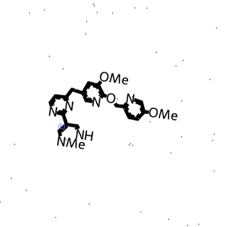 CN/C=C(\C=N)c1nccc(Cc2cnc(OCc3ccc(OC)cn3)c(OC)c2)n1